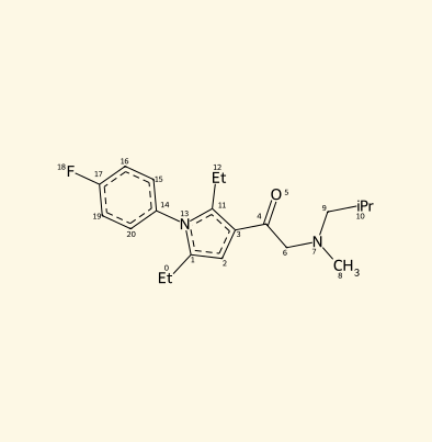 CCc1cc(C(=O)CN(C)CC(C)C)c(CC)n1-c1ccc(F)cc1